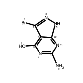 Nc1nc(O)c2c(Br)n[nH]c2n1